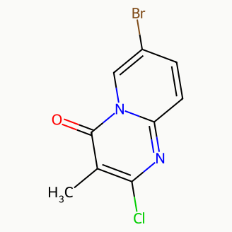 Cc1c(Cl)nc2ccc(Br)cn2c1=O